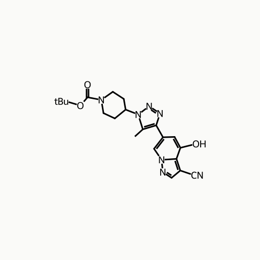 Cc1c(-c2cc(O)c3c(C#N)cnn3c2)nnn1C1CCN(C(=O)OC(C)(C)C)CC1